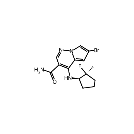 C[C@]1(F)CCC[C@H]1Nc1c(C(N)=O)cnn2cc(Br)cc12